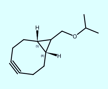 CC(C)OCC1[C@H]2CCC#CCC[C@@H]12